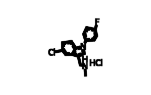 CNCc1cn(-c2ccc(F)cc2)c2ccc(Cl)cc12.Cl